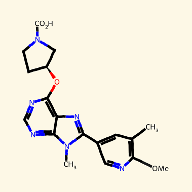 COc1ncc(-c2nc3c(O[C@H]4CCN(C(=O)O)C4)ncnc3n2C)cc1C